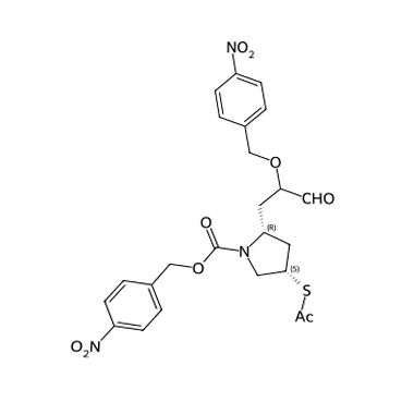 CC(=O)S[C@H]1C[C@@H](CC(C=O)OCc2ccc([N+](=O)[O-])cc2)N(C(=O)OCc2ccc([N+](=O)[O-])cc2)C1